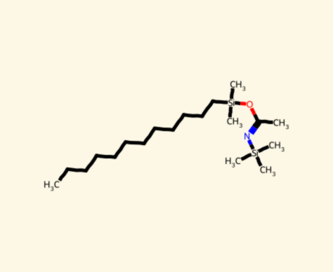 CCCCCCCCCCCC[Si](C)(C)OC(C)=N[Si](C)(C)C